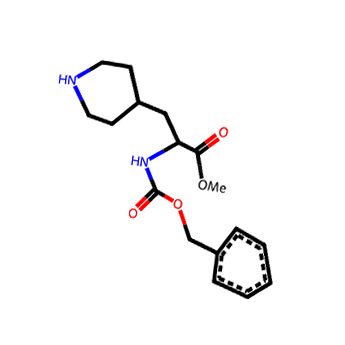 COC(=O)C(CC1CCNCC1)NC(=O)OCc1ccccc1